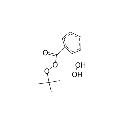 CC(C)(C)OOC(=O)c1ccccc1.OO